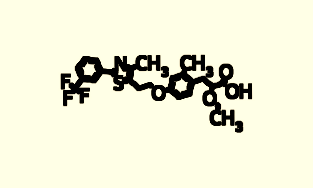 CCOC(Cc1ccc(OCCc2sc(-c3cccc(C(F)(F)F)c3)nc2C)cc1C)C(=O)O